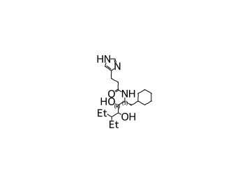 CCC(CC)C(O)[C@H](O)[C@H](CC1CCCCC1)NC(=O)CCc1c[nH]cn1